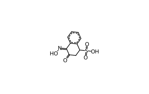 O=C1CC(S(=O)(=O)O)c2ccccc2C1=NO